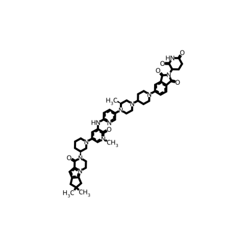 C[C@H]1CN(C2CCN(c3ccc4c(c3)C(=O)N(C3CCC(=O)NC3=O)C4=O)CC2)CCN1c1ccc(Nc2cc(N3CCC[C@H](N4CCn5c(cc6c5CC(C)(C)C6)C4=O)C3)cn(C)c2=O)nc1